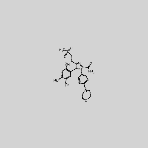 CC(C)c1cc(C2N(CCS(C)(=O)=O)N=C(C(N)=O)N2c2ccc(N3CCOCC3)cc2)c(O)cc1O